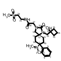 CN(C)[C@]1(c2ccccc2)CC[C@@]2(CC1)CN(CC(=O)NCCS(C)(=O)=O)C(=O)N2CC1(O)CCC1